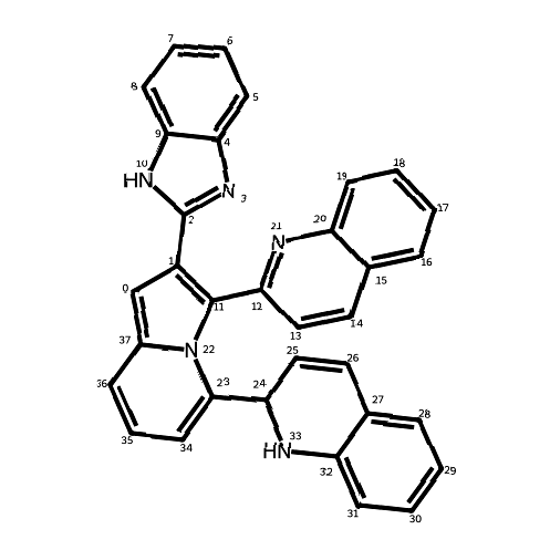 [c]1c(-c2nc3ccccc3[nH]2)c(-c2ccc3ccccc3n2)n2c(C3C=Cc4ccccc4N3)cccc12